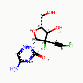 Nc1cnn([C@@H]2O[C@H](CO)C(O)C2(Cl)C#CCl)c(=O)n1